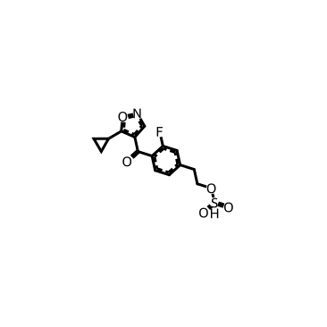 O=C(c1ccc(CCO[SH](=O)=O)cc1F)c1cnoc1C1CC1